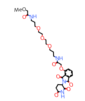 COCC(=O)NCCCOCCOCCOCCCNC(=O)COc1cccc2c1C(=O)N(C1CCC(=O)NC1=O)C2=O